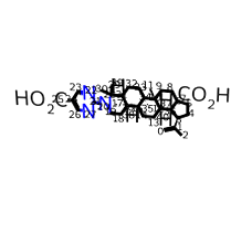 C=C(C)[C@@H]1CC[C@]2(C(=O)O)CC[C@]3(C)[C@H](CC[C@@H]4[C@@]5(C)CCN(c6ncc(C(=O)O)cn6)C(C)(C)[C@@H]5CC[C@]43C)[C@@H]12